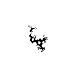 O=C(O)COCC1CCC(c2cc(C(F)(F)F)cc(C(F)(F)F)c2)O1